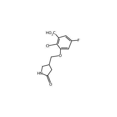 O=C1CC(COc2cc(F)cc(C(=O)O)c2Cl)CN1